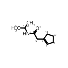 CC(C)NC(=O)CC1=CCCC1